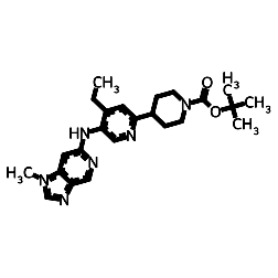 CCc1cc(C2CCN(C(=O)OC(C)(C)C)CC2)ncc1Nc1cc2c(cn1)ncn2C